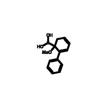 COC1(B(O)O)CC=CC=C1c1ccccc1